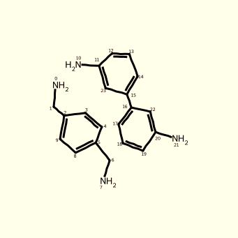 NCc1ccc(CN)cc1.Nc1cccc(-c2cccc(N)c2)c1